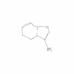 BC1COC2C=CCCC12